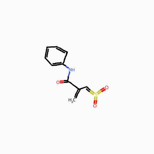 C=C(C=S(=O)=O)C(=O)Nc1ccccc1